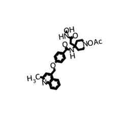 CC(=O)ON1CCC(CC(=O)NO)(NC(=O)c2ccc(OCc3cc(C)nc4ccccc34)cc2)CC1